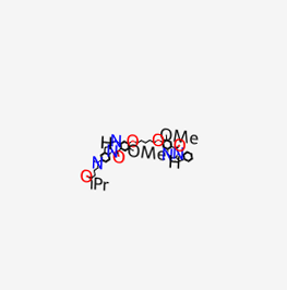 COc1cc2c(cc1OCCCCCOc1cc3c(cc1OC)C(=O)N1c4ccc(N(C)CCCC(=O)C(C)C)cc4C[C@H]1C=N3)N=C[C@@H]1Cc3ccccc3N1C2=O